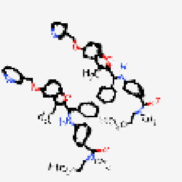 CCOC(=O)CCN(C)C(=O)c1ccc(NC(c2oc3ccc(OCc4cccnc4)cc3c2C)C2CCCCC2)cc1.Cc1c(C(Nc2ccc(C(=O)N(C)CCC(=O)O)cc2)C2CCCCC2)oc2ccc(OCc3cccnc3)cc12